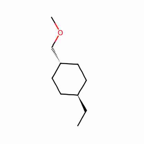 CC[C@H]1CC[C@H](COC)CC1